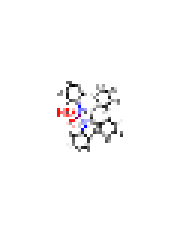 O=P1(O)N(c2ccccc2)[C@H](c2ccccc2)[C@@H](c2ccccc2)N1c1ccccc1